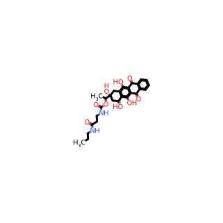 CCCNC(=O)CCNC(=O)OC(C)[C@]1(O)Cc2c(O)c3c(c(O)c2[C@@H](O)C1)C(=O)c1ccccc1C3=O